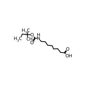 CCC(C)(C)OC(=O)NCCCCCCCC(=O)O